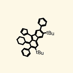 CC(C)(C)c1cc2c(cc1-c1ccccc1)C(C1=CC=CC1)=c1c-2cc(C(C)(C)C)c(-c2ccccc2)c1=C1CCCCC1